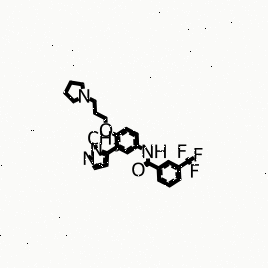 Cn1nccc1-c1cc(NC(=O)c2cccc(C(F)(F)F)c2)ccc1OCCCN1CCCC1